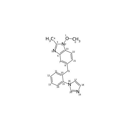 COn1c(C)nc2cc(Cc3ccccc3-n3ccnc3)ccc21